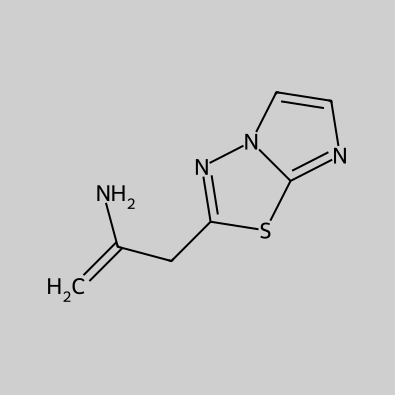 C=C(N)Cc1nn2ccnc2s1